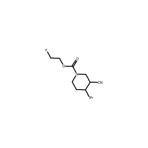 CC(C)C1CCN(C(=O)OCCF)CC1C#N